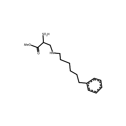 COC(=O)C(CNCCCCCCc1ccccc1)S(=O)(=O)O